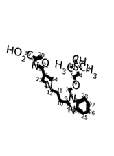 CS(C)(C)CCOCn1c(CCCN2CC(c3nc(C(=O)O)co3)C2)nc2ccccc21